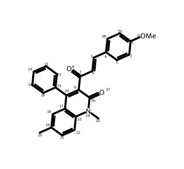 COc1ccc(/C=C/C(=O)c2c(-c3ccccc3)c3cc(C)ccc3n(C)c2=O)cc1